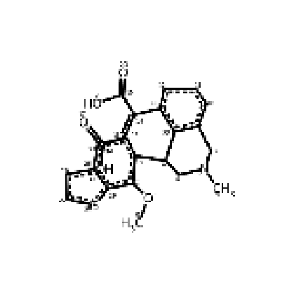 COc1c(C2CN(C)Cc3cccc(C(=CC(=O)O)C(=O)O)c32)ccc2ccsc12